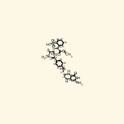 COC(=O)C(C[C@H](NC(=O)c1ccc(NC[C@H]2CNc3nc(N)[nH]c(=O)c3N2)cc1)C(=O)OC)c1ccccc1S(=O)(=O)O